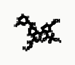 C#Cc1ccc(Nc2cc(Nc3cccc(F)n3)ncc2C(=O)NOC)c(N(C)S(C)(=O)=O)c1